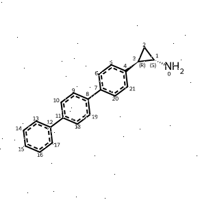 N[C@H]1C[C@@H]1c1ccc(-c2ccc(-c3ccccc3)cc2)cc1